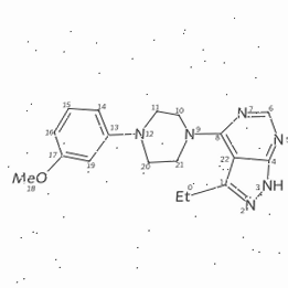 CCc1n[nH]c2ncnc(N3CCN(c4cccc(OC)c4)CC3)c12